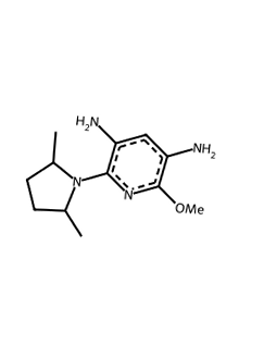 COc1nc(N2C(C)CCC2C)c(N)cc1N